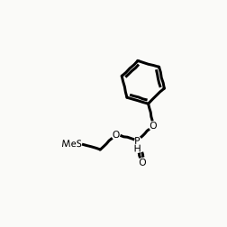 CSCO[PH](=O)Oc1ccccc1